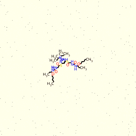 CCCCCOC(CC)NC(=O)NCC(=O)SC1=CC(SC(=O)CNC(=O)NC(CC)OCCCCC)=NN(N(C(C)CC)C(C)CC)N1